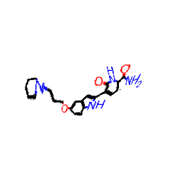 NC(=O)c1[c]cc(-c2cc3cc(OCCCN4CCCCC4)ccc3[nH]2)c(=O)[nH]1